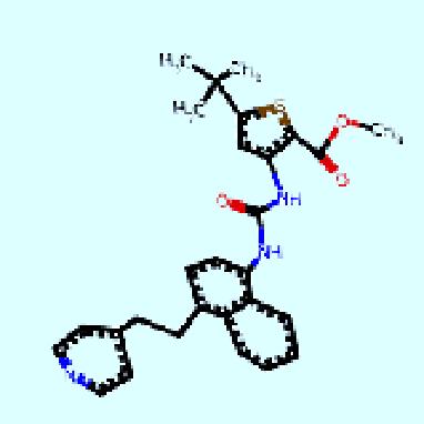 COC(=O)c1sc(C(C)(C)C)cc1NC(=O)Nc1ccc(CCc2ccncc2)c2ccccc12